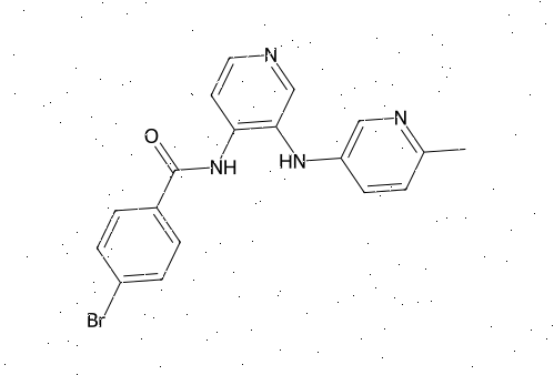 Cc1ccc(Nc2cnccc2NC(=O)c2ccc(Br)cc2)cn1